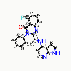 CC[C@H](Nc1ccnc2[nH]ccc12)c1nc2cccc(F)c2c(=O)n1-c1ccccc1